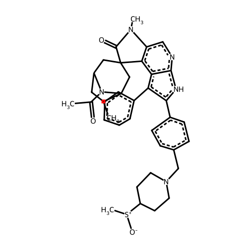 CC(=O)N1C2CC(C)C1CC1(C2)C(=O)N(C)c2cnc3[nH]c(-c4ccc(CN5CCC([S+](C)[O-])CC5)cc4)c(-c4ccccc4)c3c21